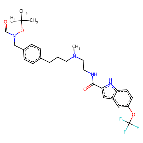 CN(CCCc1ccc(CN(C=O)OC(C)(C)C)cc1)CCNC(=O)c1cc2cc(OC(F)(F)F)ccc2[nH]1